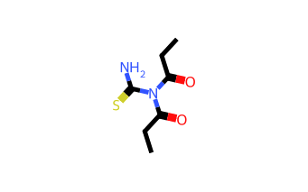 CCC(=O)N(C(=O)CC)C(N)=S